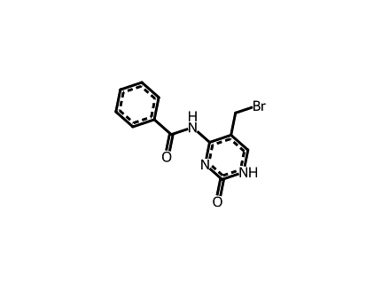 O=C(Nc1nc(=O)[nH]cc1CBr)c1ccccc1